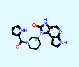 O=C(c1ccc[nH]1)N1CCC[C@@H](n2c(=O)[nH]c3cnc4[nH]ccc4c32)C1